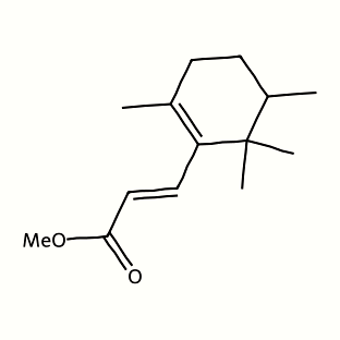 COC(=O)/C=C/C1=C(C)CCC(C)C1(C)C